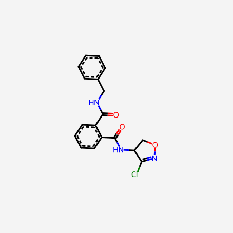 O=C(NCc1ccccc1)c1ccccc1C(=O)NC1CON=C1Cl